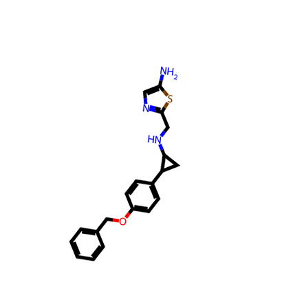 Nc1cnc(CNC2CC2c2ccc(OCc3ccccc3)cc2)s1